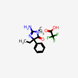 CCC1(c2ccccc2)N=C(N)N(C)C1=O.O=C(O)C(F)(F)F